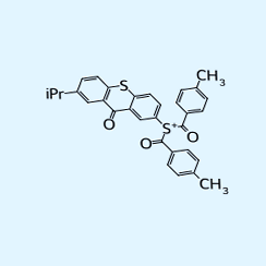 Cc1ccc(C(=O)[S+](C(=O)c2ccc(C)cc2)c2ccc3sc4ccc(C(C)C)cc4c(=O)c3c2)cc1